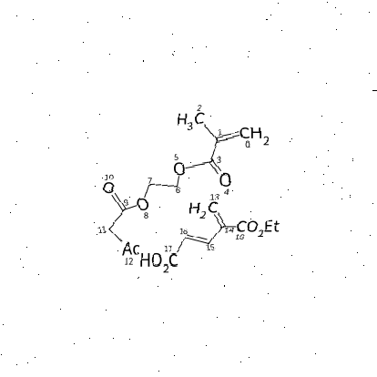 C=C(C)C(=O)OCCOC(=O)CC(C)=O.C=C(C=CC(=O)O)C(=O)OCC